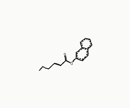 CCCCCC(=O)Oc1ccc2ccccc2c1